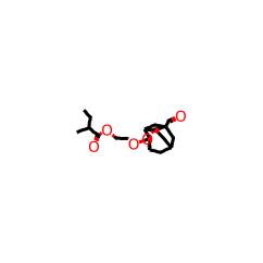 CCC(C)C(=O)OCCOC1C2CC3CC1OCC(C=O)(C3)C2